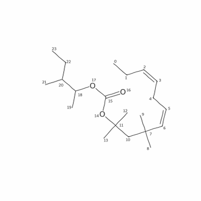 CC/C=C\C/C=C\C(C)(C)CC(C)(C)OC(=O)OC(C)C(C)CC